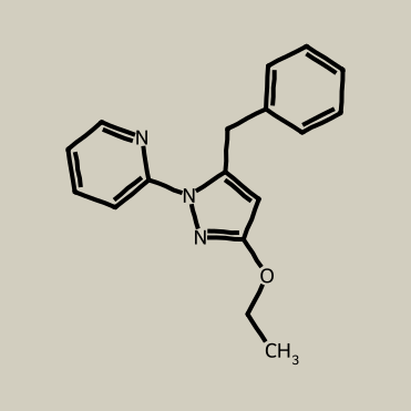 CCOc1cc(Cc2ccccc2)n(-c2ccccn2)n1